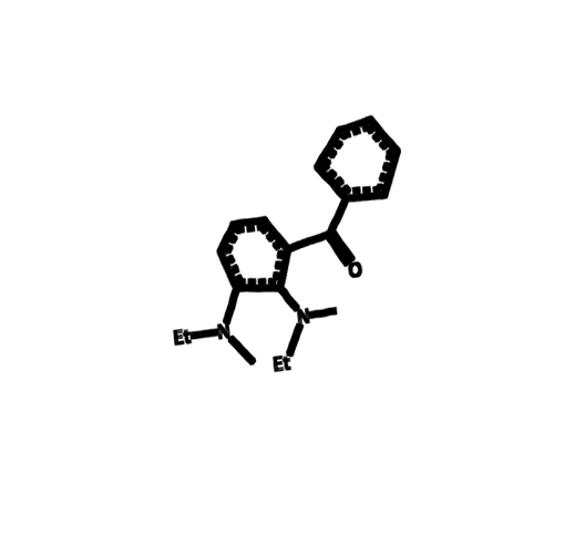 CCN(C)c1cccc(C(=O)c2ccccc2)c1N(C)CC